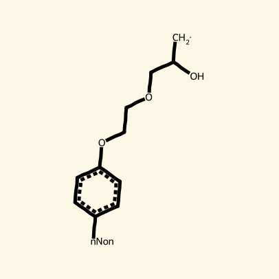 [CH2]C(O)COCCOc1ccc(CCCCCCCCC)cc1